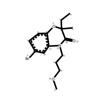 CCC1(C)Oc2ccc(Br)cc2N(CCCOC)C1=O